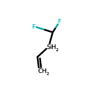 C=C[SiH2]C(F)F